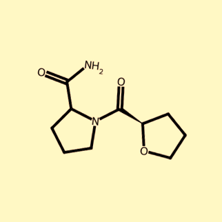 NC(=O)C1CCCN1C(=O)[C@H]1CCCO1